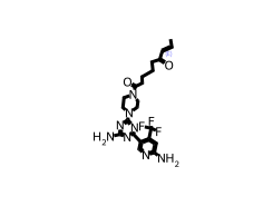 C/C=C/C(=O)CCCCC(=O)N1CCN(c2nc(N)nc(-c3cnc(N)cc3C(F)(F)F)n2)CC1